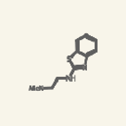 CNCCNc1nc2ccccc2s1